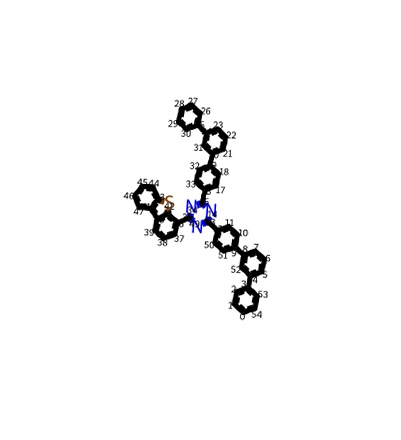 c1ccc(-c2cccc(-c3ccc(-c4nc(-c5ccc(-c6cccc(-c7ccccc7)c6)cc5)nc(-c5cccc6c5sc5ccccc56)n4)cc3)c2)cc1